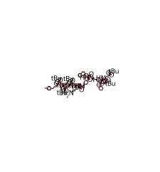 Cc1ccc(CCCC(=O)NC(CC(=O)NC(CC(=O)NC(CC(=O)NC(CCCCN)C(=O)NCC2CCC(C(=O)NC(Cc3ccc4ccccc4c3)C(=O)NCCCCC(NC(=O)NC(CCC(=O)OC(C)(C)C)C(=O)OC(C)(C)C)C(=O)OC3CCCCC3)CC2)C(=O)OC(C)(C)C)C(=O)OC(C)(C)C)C(=O)OC(C)(C)C)cc1